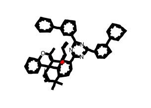 C=C/C=C\C1=C(C)Oc2ccccc2C12c1ccccc1C(C)(C)c1ccc(-c3nc(-c4cccc(-c5ccccc5)c4)nc(-c4cccc(-c5ccccc5)c4)n3)cc12